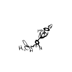 CC(=O)NCCCOc1ccc(-c2ccnc(Nc3ccc(N4CCOCC4)cc3)n2)cc1C#N